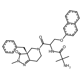 CN1N=C2CCN(C(=O)C(COc3ccc4ccccc4c3)NC(=O)C(C)(C)N)C[C@@]2(Cc2ccccc2)C1=O